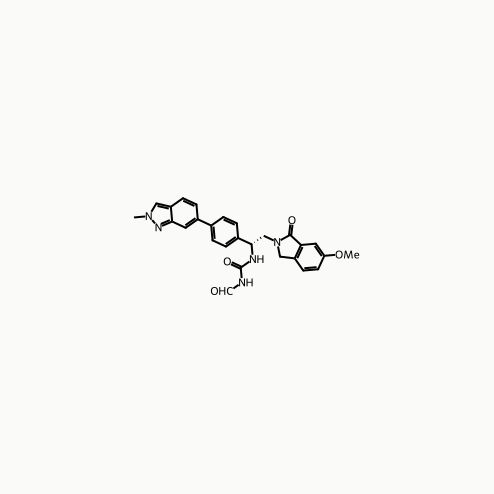 COc1ccc2c(c1)C(=O)N(C[C@H](NC(=O)NC=O)c1ccc(-c3ccc4cn(C)nc4c3)cc1)C2